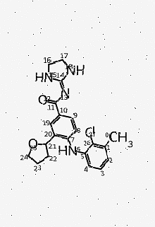 Cc1cccc(Nc2ccc(C(=O)N=C3NCCN3)cc2C2CCCO2)c1Cl